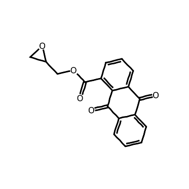 O=C(OCC1CO1)c1cccc2c1C(=O)c1ccccc1C2=O